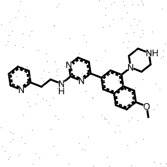 COc1ccc2cc(-c3ccnc(NCCc4ccccn4)n3)cc(N3CCNCC3)c2c1